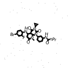 CCCC(=O)Nc1cccc(-n2c(=O)n(C3CC3)c(=O)c3c(Nc4ccc(Br)cc4F)cc(=O)n(C)c32)c1